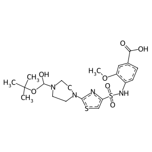 COc1cc(C(=O)O)ccc1NS(=O)(=O)c1csc(N2CCN(C(O)OC(C)(C)C)CC2)n1